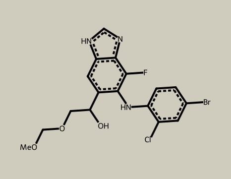 COCOCC(O)c1cc2[nH]cnc2c(F)c1Nc1ccc(Br)cc1Cl